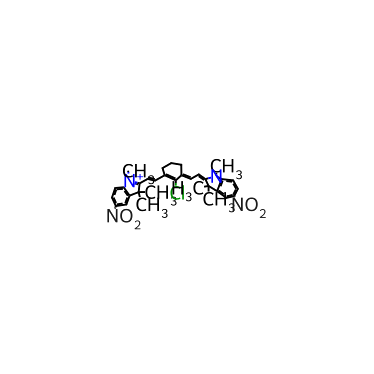 CN1/C(=C/C=C2\CCCC(/C=C/C3=[N+](C)c4ccc([N+](=O)[O-])cc4C3(C)C)=C2Cl)C(C)(C)c2cc([N+](=O)[O-])ccc21